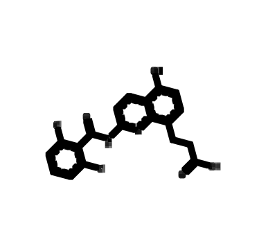 O=C(O)CCc1ccc(O)c2ccc(NC(=O)c3c(Cl)cccc3Cl)nc12